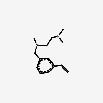 C=Cc1cccc(CN(C)CCN(C)C)c1